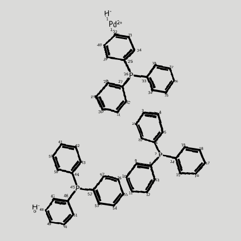 [H-].[H-].[Pd+2].c1ccc(P(c2ccccc2)c2ccccc2)cc1.c1ccc(P(c2ccccc2)c2ccccc2)cc1.c1ccc(P(c2ccccc2)c2ccccc2)cc1